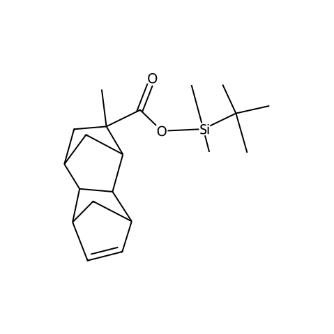 CC1(C(=O)O[Si](C)(C)C(C)(C)C)CC2CC1C1C3C=CC(C3)C21